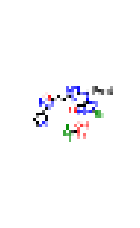 CCCCCn1c2nc(Br)[nH]c2c(=O)n2c(CCc3nc(-c4cccnc4)no3)nnc12.O=C(O)C(F)(F)F